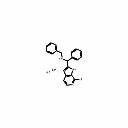 Cl.Cl.Clc1nccc2cc(C(NCc3ccccc3)c3ccccc3)[nH]c12